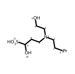 CC(C)CCN(CCO)CCC(O)S(=O)(=O)O